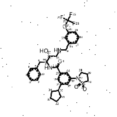 O=C(N[C@@H](Cc1ccccc1)[C@H](O)CNCc1cccc(OC(F)(F)F)c1)c1cc(C2CCCC2)cc(N2CCCS2(=O)=O)c1